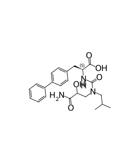 CC(C)CN(CC(O)C(N)=O)C(=O)N[C@@H](Cc1ccc(-c2ccccc2)cc1)C(=O)O